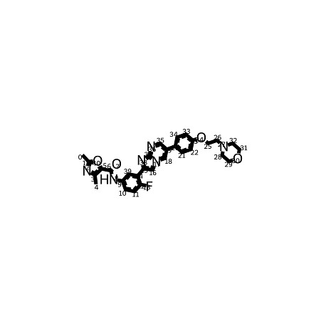 Cc1nc(C)c(C(=O)Nc2ccc(F)c(-c3cn4cc(-c5ccc(OCCN6CCOCC6)cc5)cnc4n3)c2)o1